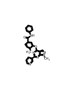 Cc1ccc(C(=O)Nc2ccccc2)cc1Oc1nc(-c2cccnc2)nc2c1cnn2C